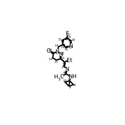 CC/C(=C\N=C(/C)NC12CC1C2)C1=NN(Cc2cncc(F)c2)C(=O)CC1